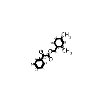 CC1=CC(C)C(COC(=O)C(=O)c2ccccc2)CC1